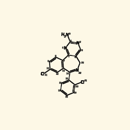 Nc1ncc2c(n1)-c1ccc(Cl)cc1C(c1ccccc1Cl)=NC2